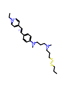 CCCSSCCCN(C)CCCN(C)c1ccc(/C=C/c2cc[n+](CC)cc2)cc1